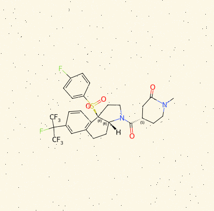 CN1CC[C@H](C(=O)N2CC[C@@]3(S(=O)(=O)c4ccc(F)cc4)c4ccc(C(F)(C(F)(F)F)C(F)(F)F)cc4CC[C@@H]23)CC1=O